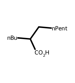 [CH2]CCCC(CCCCCC)C(=O)O